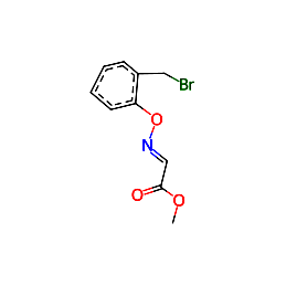 COC(=O)C=NOc1ccccc1CBr